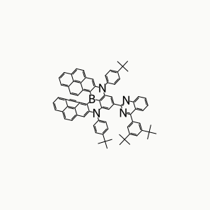 CC(C)(C)c1ccc(N2c3cc(-c4nc(-c5cc(C(C)(C)C)cc(C(C)(C)C)c5)c5ccccc5n4)cc4c3B(c3c2cc2ccc5cccc6ccc3c2c56)c2c(cc3ccc5cccc6ccc2c3c56)N4c2ccc(C(C)(C)C)cc2)cc1